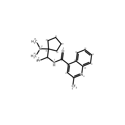 CC(C)C(NC(=O)c1cc(C(F)(F)F)nc2ccccc12)C1(N(C)C)CCCC1